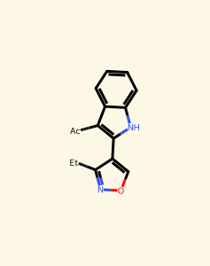 CCc1nocc1-c1[nH]c2ccccc2c1C(C)=O